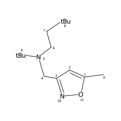 Cc1cc(CN(CCC(C)(C)C)C(C)(C)C)no1